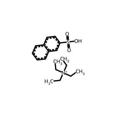 CC[N+](CC)(CC)CC.O=S(=O)(O)c1ccc2ccccc2c1